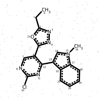 CCc1nnc(-c2cnc(Cl)nc2-c2cn(C)c3ccccc23)o1